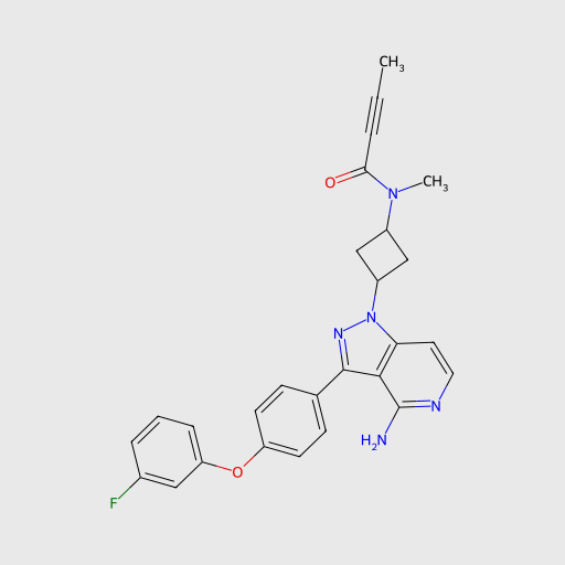 CC#CC(=O)N(C)C1CC(n2nc(-c3ccc(Oc4cccc(F)c4)cc3)c3c(N)nccc32)C1